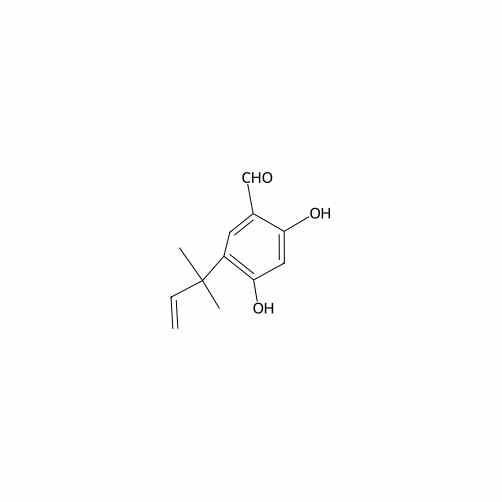 C=CC(C)(C)c1cc(C=O)c(O)cc1O